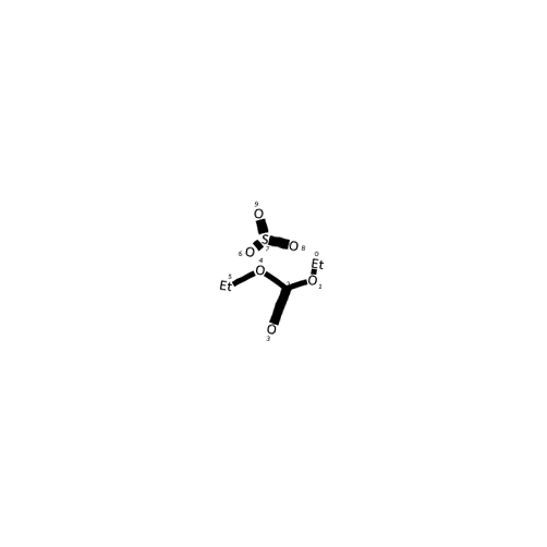 CCOC(=O)OCC.O=S(=O)=O